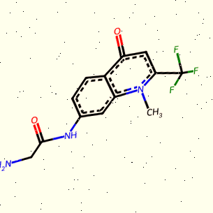 Cn1c(C(F)(F)F)cc(=O)c2ccc(NC(=O)CN)cc21